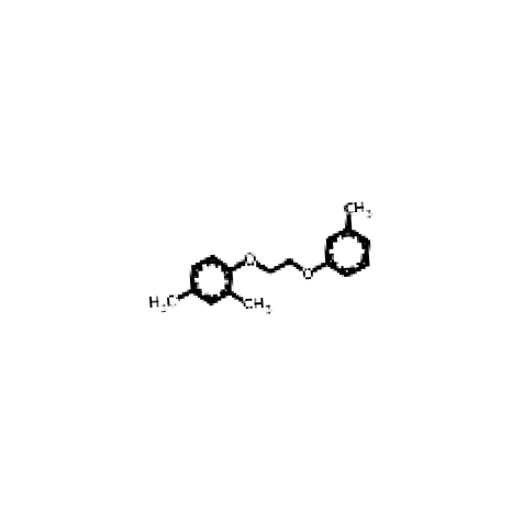 Cc1cccc(OCCOc2ccc(C)cc2C)c1